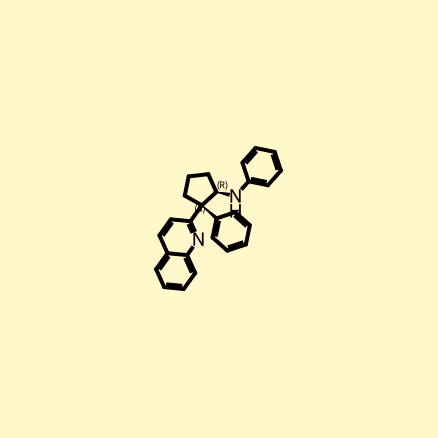 c1ccc(N[C@@H]2CCC[C@@]2(c2ccccc2)c2ccc3ccccc3n2)cc1